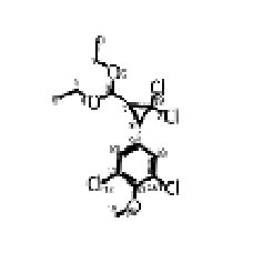 CCOC(OCC)[C@@H]1[C@@H](c2cc(Cl)c(OC)c(Cl)c2)C1(Cl)Cl